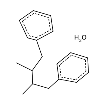 CC(Cc1ccccc1)C(C)Cc1ccccc1.O